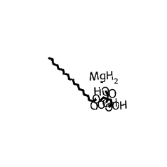 CCCCCCCCCCCCCCCCCC(=O)OC(=O)CC(O)(CC(=O)O)C(=O)O.[MgH2]